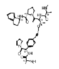 C=C([C@@H](NC(=O)[C@H](C)NC)[C@@H](C)OCC#Cc1ccc([C@H](NC(=O)[C@H](C)NC)C(=O)N2CCCC2)cc1)N1CCC[C@H]1C(=O)N[C@@H]1CCCc2ccccc21